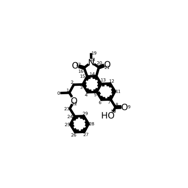 CC(Cc1cc2cc(C(=O)O)ccc2c2c1C(=O)N(C)C2=O)OCc1ccccc1